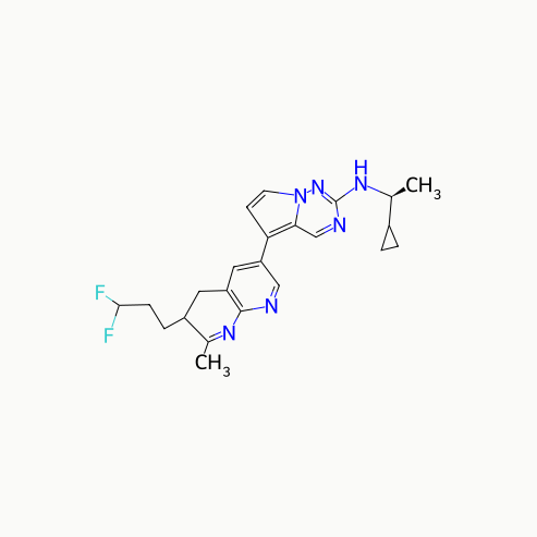 CC1=Nc2ncc(-c3ccn4nc(N[C@@H](C)C5CC5)ncc34)cc2CC1CCC(F)F